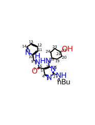 CCCCNc1ncc(C(=O)NCc2ccccn2)c(N[C@H]2CC[C@H](O)CC2)n1